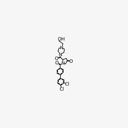 O=C1CC(C(=O)N2CCN(CCO)CC2)N(C(=O)c2ccc(-c3ccc(Cl)c(Cl)c3)cc2)C1